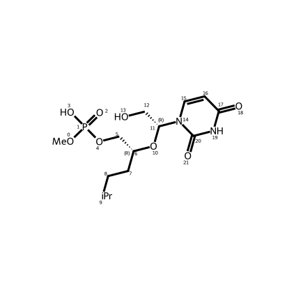 COP(=O)(O)OC[C@@H](CCC(C)C)O[C@H](CO)n1ccc(=O)[nH]c1=O